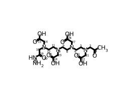 CC(=O)CN(CCN(CCN(CCN(CC(=O)O)CC(=O)NN)CC(=O)O)CC(=O)O)CC(=O)O